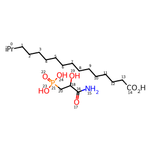 CC(C)CCCCCCCCCCCCCC(=O)O.NC(=O)C(O)CP(=O)(O)O